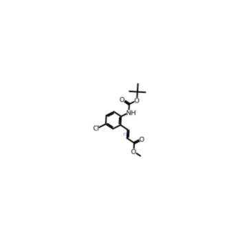 COC(=O)/C=C/c1cc(Cl)ccc1NC(=O)OC(C)(C)C